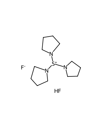 C1CCN([S+](N2CCCC2)N2CCCC2)C1.F.[F-]